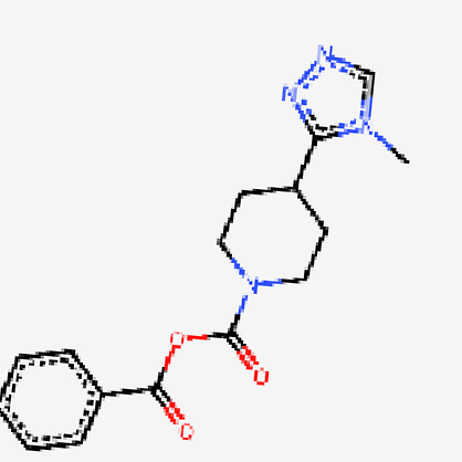 Cn1cnnc1C1CCN(C(=O)OC(=O)c2ccccc2)CC1